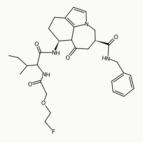 CCC(C)C(NC(=O)COCCF)C(=O)N[C@H]1CCc2ccn3c2C1C(=O)C[C@H](C(=O)NCc1ccccc1)C3